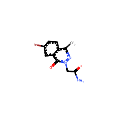 NC(=O)Cn1nc(C(F)(F)F)c2ccc(Br)cc2c1=O